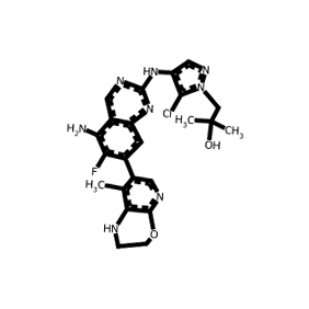 Cc1c(-c2cc3nc(Nc4cnn(CC(C)(C)O)c4Cl)ncc3c(N)c2F)cnc2c1NCCO2